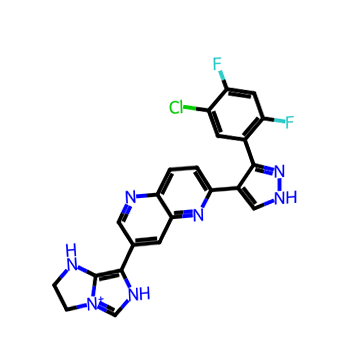 Fc1cc(F)c(-c2n[nH]cc2-c2ccc3ncc(-c4[nH]c[n+]5c4NCC5)cc3n2)cc1Cl